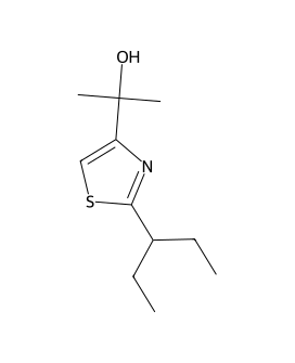 CCC(CC)c1nc(C(C)(C)O)cs1